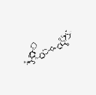 NC(=O)c1ncc(N2CCCCC2)nc1Nc1ccc2c(c1)CCN(C1CN(c3ccc4c(c3)C(=O)N([C@@H]3CCC(=O)NC3=O)C4=O)C1)C2